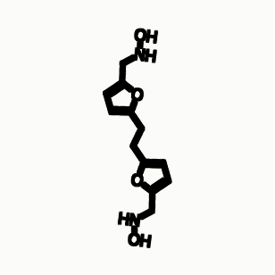 ONCc1ccc(CCc2ccc(CNO)o2)o1